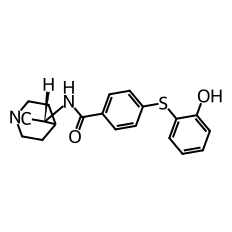 O=C(N[C@H]1CN2CCC1CC2)c1ccc(Sc2ccccc2O)cc1